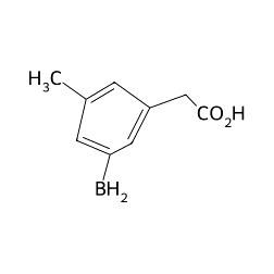 Bc1cc(C)cc(CC(=O)O)c1